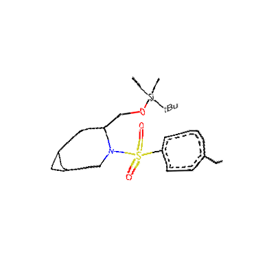 Cc1ccc(S(=O)(=O)N2CC3CC3CC2CO[Si](C)(C)C(C)(C)C)cc1